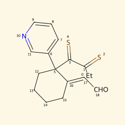 CCC(=S)C(=S)C1(c2cccnc2)CCCCC1=CC=O